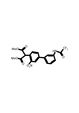 COC(=O)C(C(=O)OC)c1ccc(-c2cccc(NC(=O)C(F)(F)F)c2)cc1[N+](=O)[O-]